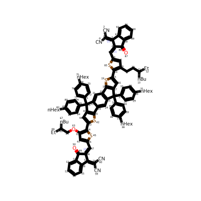 [C-]#[N+]/C(C#N)=C1\C(=C\c2cc(CCC(CC)CCCC)c(-c3cc4c(s3)-c3cc5c(cc3C4(c3ccc(CCCCCC)cc3)c3ccc(CCCCCC)cc3)-c3sc(-c4sc(/C=C6\C(=O)c7ccccc7C6=C(C#N)C#N)cc4OCC(CC)CCCC)cc3C5(c3ccc(CCCCCC)cc3)c3ccc(CCCCCC)cc3)s2)C(=O)c2ccccc21